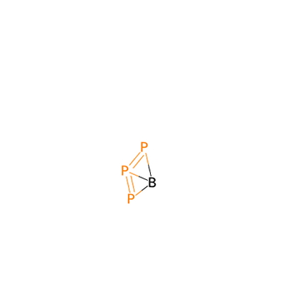 P1=P2=PB12